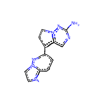 Nc1ncc2c(-c3ccc4nccn4n3)ccn2n1